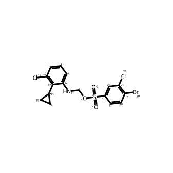 O=S(=O)(OCNc1cccc(Cl)c1[C]1CC1)c1ccc(Br)c(Cl)c1